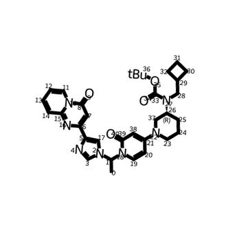 CC(n1cnc(-c2cc(=O)n3ccccc3n2)c1)n1ccc(N2CCC[C@@H](N(CC3CCC3)C(=O)OC(C)(C)C)C2)cc1=O